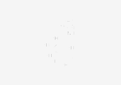 [2H]c1c([2H])c(CCNC(=O)C([2H])([2H])[2H])c2c([2H])c(OC)c([2H])c([2H])c2c1[2H]